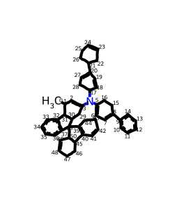 CC1C=C(N(C2=CC=C(c3ccccc3)CC2)C2C=CC(C3CC=CCC3)=CC2)CC2C1c1ccccc1C21C2=C(C=CCC2)C2CCC=CC21